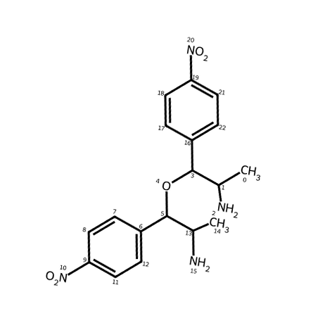 CC(N)C(OC(c1ccc([N+](=O)[O-])cc1)C(C)N)c1ccc([N+](=O)[O-])cc1